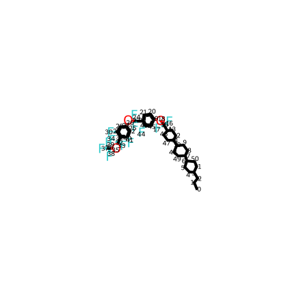 CCCC1CCC(C2CCC(C3CCC(C(F)(F)Oc4ccc(C(F)(F)Oc5cc(F)c(C(F)(F)OC(F)(F)F)c(F)c5)c(F)c4)CC3)CC2)CC1